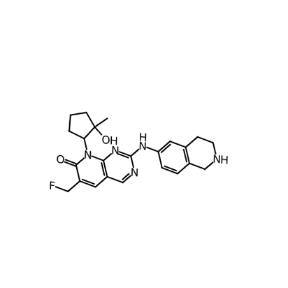 CC1(O)CCCC1n1c(=O)c(CF)cc2cnc(Nc3ccc4c(c3)CCNC4)nc21